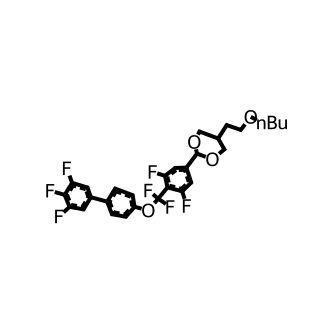 CCCCOCCC1COC(c2cc(F)c(C(F)(F)Oc3ccc(-c4cc(F)c(F)c(F)c4)cc3)c(F)c2)OC1